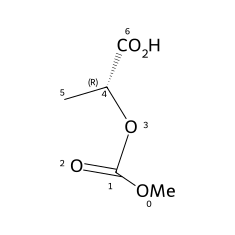 COC(=O)O[C@H](C)C(=O)O